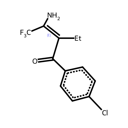 CC/C(C(=O)c1ccc(Cl)cc1)=C(\N)C(F)(F)F